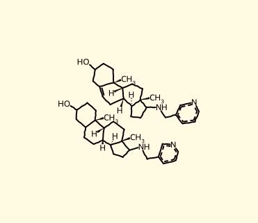 C[C@]12CCC(O)CC1=CC[C@@H]1[C@H]2CC[C@]2(C)C(NCc3cccnc3)CC[C@@H]12.C[C@]12CCC(O)CC1CC[C@@H]1[C@H]2CC[C@]2(C)C(NCc3cccnc3)CC[C@@H]12